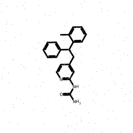 Cc1ccccc1C(Cc1ccnc(NC(N)=O)c1)c1ccccc1